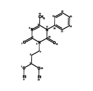 CCOC(CCn1c(=O)nc(C)n(-c2ccccc2)c1=O)OCC